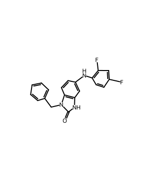 O=c1[nH]c2cc(Nc3ccc(F)cc3F)ccc2n1Cc1ccccc1